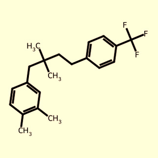 Cc1ccc(CC(C)(C)CCc2ccc(C(F)(F)F)cc2)cc1C